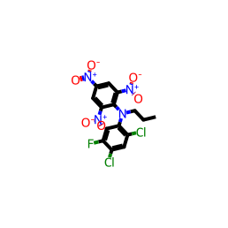 CCCN(c1cc(F)c(Cl)cc1Cl)c1c([N+](=O)[O-])cc([N+](=O)[O-])cc1[N+](=O)[O-]